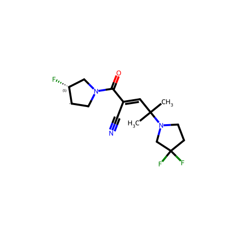 CC(C)(C=C(C#N)C(=O)N1C[CH][C@H](F)C1)N1CCC(F)(F)C1